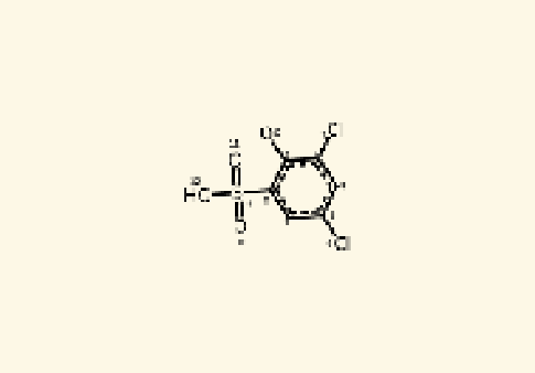 [O]c1c(Cl)cc(Cl)cc1S(=O)(=O)O